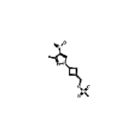 Cc1nn(C2CC(COS(C)(=O)=O)C2)cc1[N+](=O)[O-]